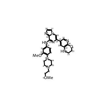 COCCN1CCN(c2ccc(Nc3nc(-c4cnc5c(c4)NCCO5)cn4ccnc34)cc2OC)CC1